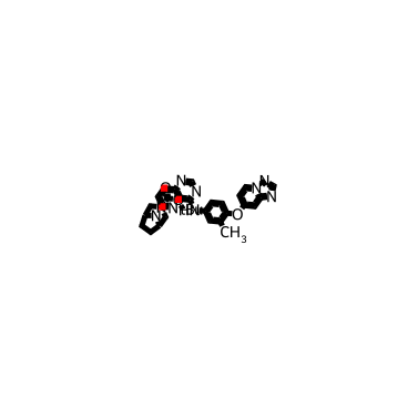 Cc1cc(Nc2ncnc3ccc(N4C5CCC4CN(C(=O)OC(C)(C)C)C5)nc23)ccc1Oc1ccn2ncnc2c1